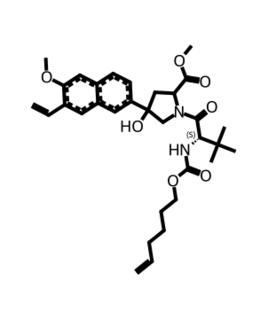 C=CCCCCOC(=O)N[C@H](C(=O)N1CC(O)(c2ccc3cc(OC)c(C=C)cc3c2)CC1C(=O)OC)C(C)(C)C